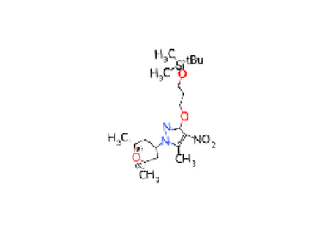 Cc1c([N+](=O)[O-])c(OCCCO[Si](C)(C)C(C)(C)C)nn1C1C[C@@H](C)O[C@@H](C)C1